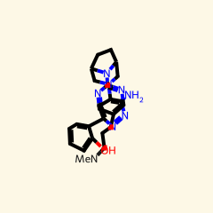 CNCCCc1cnc(N2C3CCC2CN(c2cc(-c4ccccc4O)nnc2N)C3)nc1